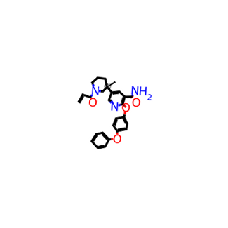 C=CC(=O)N1CCC[C@](C)(c2cnc(Oc3ccc(Oc4ccccc4)cc3)c(C(N)=O)c2)C1